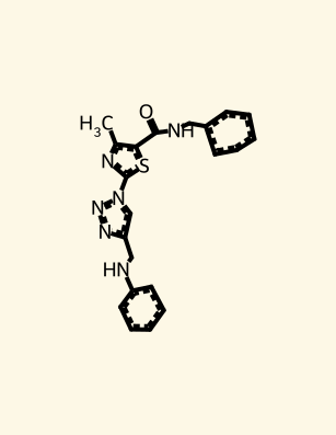 Cc1nc(-n2cc(CNc3ccccc3)nn2)sc1C(=O)NCc1ccccc1